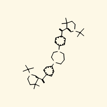 CC1(C)CCN(C(C)(C)C)C=C1C(=O)c1ccc(N2CCCN(c3ccc(C(=O)C4=CN(C(C)(C)C)CCC4(C)C)cc3)CC2)cc1